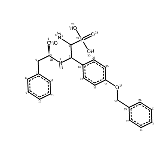 NC(C(N[C@H](C=O)Cc1ccccc1)c1ccc(OCc2ccccc2)cc1)P(=O)(O)O